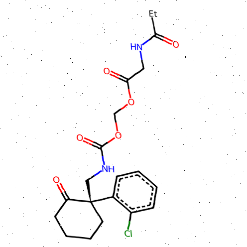 CCC(=O)NCC(=O)OCOC(=O)NC[C@@]1(c2ccccc2Cl)CCCCC1=O